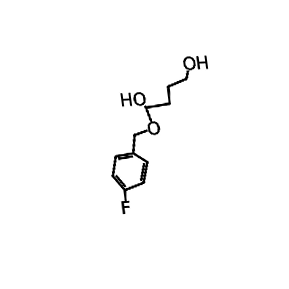 OCCCC(O)OCc1ccc(F)cc1